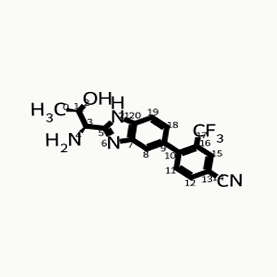 C[C@@H](O)[C@H](N)c1nc2cc(-c3ccc(C#N)cc3C(F)(F)F)ccc2[nH]1